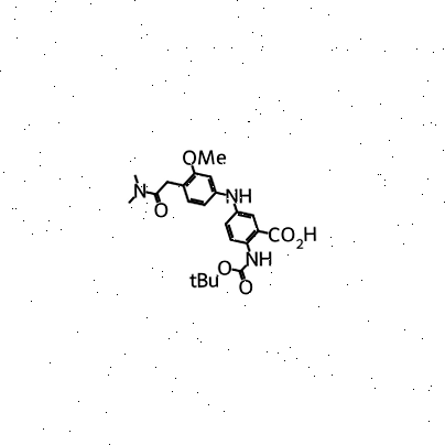 COc1cc(Nc2ccc(NC(=O)OC(C)(C)C)c(C(=O)O)c2)ccc1CC(=O)N(C)C